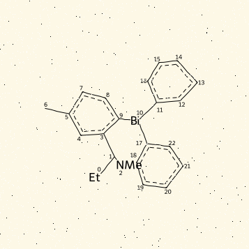 CCC(NC)c1cc(C)cc[c]1[Bi]([c]1ccccc1)[c]1ccccc1